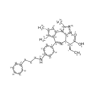 CC[C@H](C(=O)O)C1N=C(c2ccc(NCCCc3ccccc3)cc2)c2c(sc(C)c2C)-n2c(C)nnc21